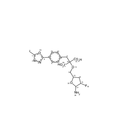 Cc1nnc(-c2ccc(CC(OCC3CC(F)C(N)O3)(C(=O)O)C(=O)O)cc2)o1